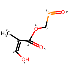 CC(=CO)C(=O)OCP=O